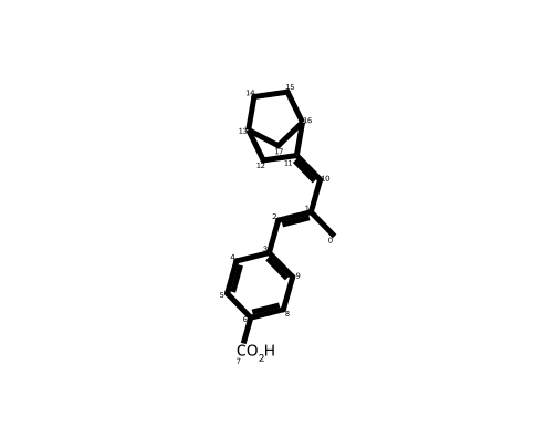 CC(=Cc1ccc(C(=O)O)cc1)C=C1CC2CCC1C2